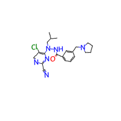 CC(C)CN(NC(=O)c1cccc(CN2CCCC2)c1)c1nc(C#N)ncc1Cl